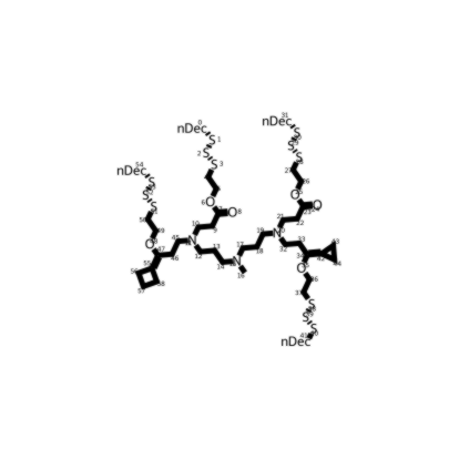 CCCCCCCCCCSSSCCOC(=O)CCN(CCCN(C)CCCN(CCC(=O)OCCSSSCCCCCCCCCC)CCC(OCCSSSCCCCCCCCCC)=C1CC1)CCC(OCCSSSCCCCCCCCCC)=C1CCC1